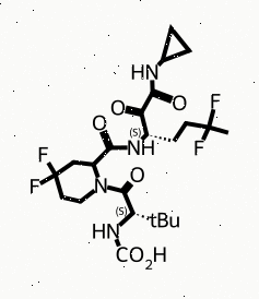 CC(F)(F)CC[C@H](NC(=O)C1CC(F)(F)CCN1C(=O)[C@@H](NC(=O)O)C(C)(C)C)C(=O)C(=O)NC1CC1